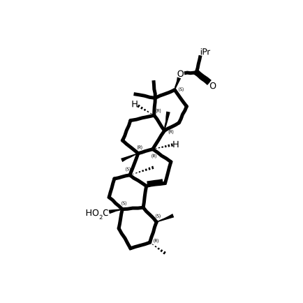 CC(C)C(=O)O[C@H]1CC[C@]2(C)[C@H]3CC=C4C5[C@@H](C)[C@H](C)CC[C@]5(C(=O)O)CC[C@@]4(C)[C@]3(C)CC[C@H]2C1(C)C